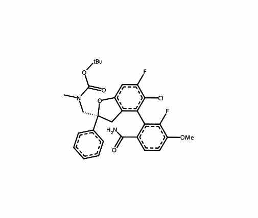 COc1ccc(C(N)=O)c(-c2c(Cl)c(F)cc3c2C[C@@](CN(C)C(=O)OC(C)(C)C)(c2ccccc2)O3)c1F